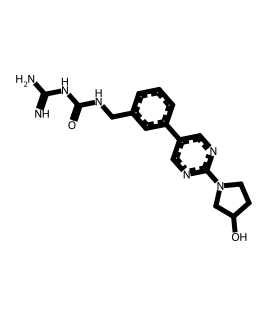 N=C(N)NC(=O)NCc1cccc(-c2cnc(N3CCC(O)C3)nc2)c1